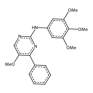 COc1cnc(Nc2cc(OC)c(OC)c(OC)c2)nc1-c1ccccc1